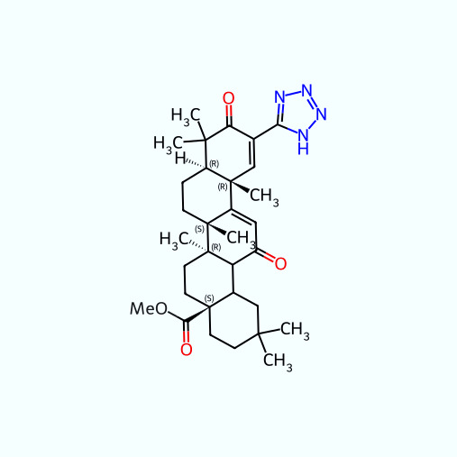 COC(=O)[C@]12CCC(C)(C)CC1C1C(=O)C=C3[C@@]4(C)C=C(c5nnn[nH]5)C(=O)C(C)(C)[C@@H]4CC[C@@]3(C)[C@]1(C)CC2